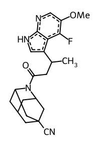 COc1cnc2[nH]cc(C(C)CC(=O)N3C4CC5CC3CC(C#N)(C5)C4)c2c1F